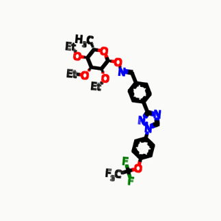 CCO[C@@H]1[C@@H](OCC)[C@H](C)O[C@@H](O/N=C/c2ccc(-c3ncn(-c4ccc(OC(F)(F)C(F)(F)F)cc4)n3)cc2)[C@@H]1OCC